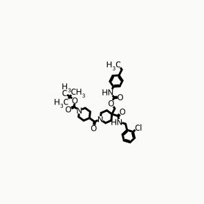 CCc1ccc(NC(=O)OCC2(C(=O)NCc3ccccc3Cl)CCN(C(=O)C3CCN(C(=O)OC(C)(C)C)CC3)CC2)cc1